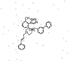 Cc1cccc(C)c1-n1nnnc1[C@H](c1cccc(-c2ccccc2)c1)N1CCN(C/C=C/c2ccccc2)CC1